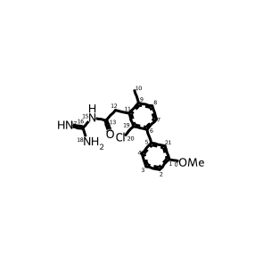 COc1cccc(-c2ccc(C)c(CC(=O)NC(=N)N)c2Cl)c1